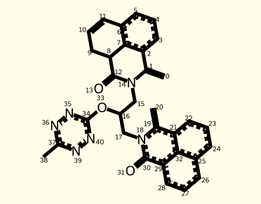 C=C1c2cccc3c2C(CC=C3)C(=O)N1CC(Cn1c(=C)c2cccc3cccc(c1=O)c32)Oc1nnc(C)nn1